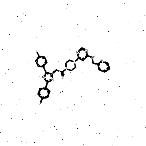 O=C(Cn1nc(-c2ccc(F)cc2)nc1-c1ccc(F)cc1)N1CCN(c2cc(NCc3ccccn3)ncn2)CC1